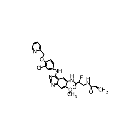 C=CC(=O)NCC(F)C(=O)Nc1cc2c(Nc3ccc(OCc4ccccn4)c(Cl)c3)ncnc2cc1OC